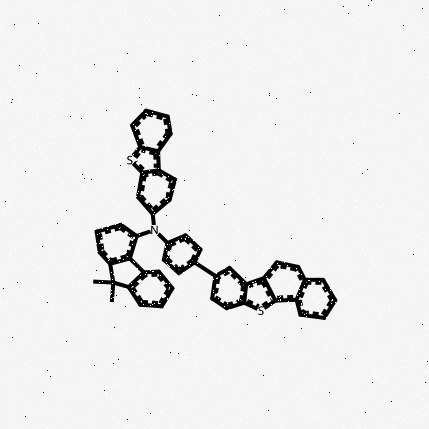 CC1(C)c2ccccc2-c2c(N(c3ccc(-c4ccc5sc6c7ccccc7ccc6c5c4)cc3)c3ccc4c(c3)sc3ccccc34)cccc21